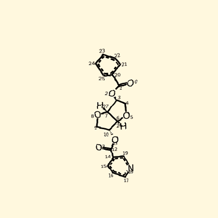 O=C(O[C@H]1CO[C@H]2[C@@H]1OC[C@H]2OC(=O)c1cccnc1)c1ccccc1